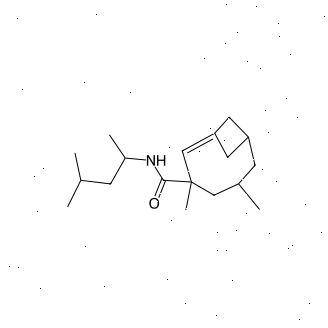 CC(C)CC(C)NC(=O)C1(C)C=C2CC(C2)CC(C)C1